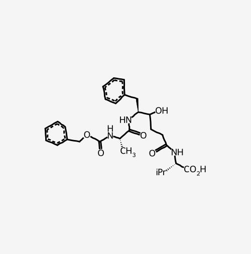 CC(C)[C@H](NC(=O)CCC(O)[C@H](Cc1ccccc1)NC(=O)[C@H](C)NC(=O)OCc1ccccc1)C(=O)O